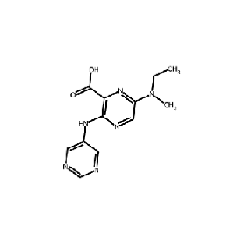 CCN(C)c1cnc(Nc2cncnc2)c(C(=O)O)n1